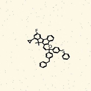 CC1(C)c2c(cc(F)cc2C2CC2)-c2c1c1c(c3ccccc23)OC(c2ccc(Cc3ccccc3)cc2)(c2ccc(Sc3ccccc3)cc2)C=C1